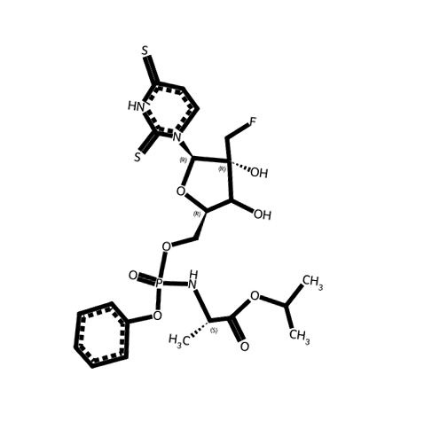 CC(C)OC(=O)[C@H](C)NP(=O)(OC[C@H]1O[C@@H](n2ccc(=S)[nH]c2=S)[C@@](O)(CF)C1O)Oc1ccccc1